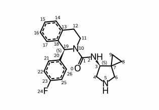 O=C(N[C@@H]1CNCC12CC2)N1CCc2ccccc2[C@@H]1c1ccc(F)cc1